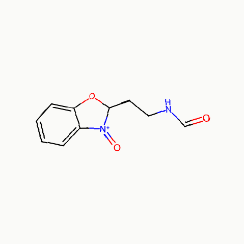 O=CNCCC1Oc2ccccc2[N+]1=O